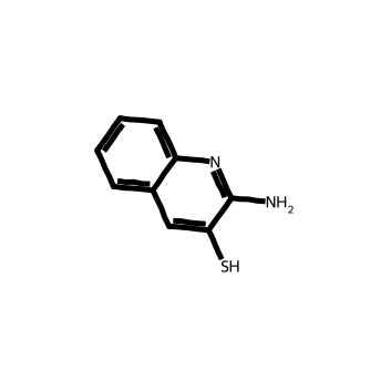 Nc1nc2ccccc2cc1S